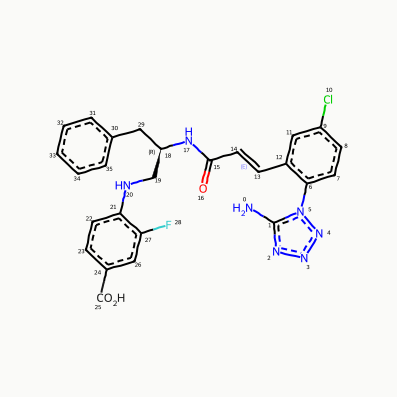 Nc1nnnn1-c1ccc(Cl)cc1/C=C/C(=O)N[C@@H](CNc1ccc(C(=O)O)cc1F)Cc1ccccc1